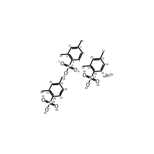 Cc1ccc(S(=O)(=O)[O-])c(C)c1.Cc1ccc(S(=O)(=O)[O-])c(C)c1.Cc1ccc(S(=O)(=O)[O-])c(C)c1.[In+3]